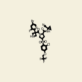 N#CC1(NC(=O)C2CC(S(=O)(=O)c3ccc(OCC(F)(F)F)cc3Cl)CN2C(=O)C2(c3ncc(Br)cc3F)CNC2)CC1